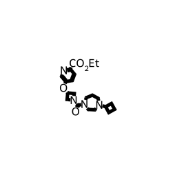 CCOC(=O)c1ccc(OC2CN(C(=O)N3CCCN(C4CCC4)CC3)C2)cn1